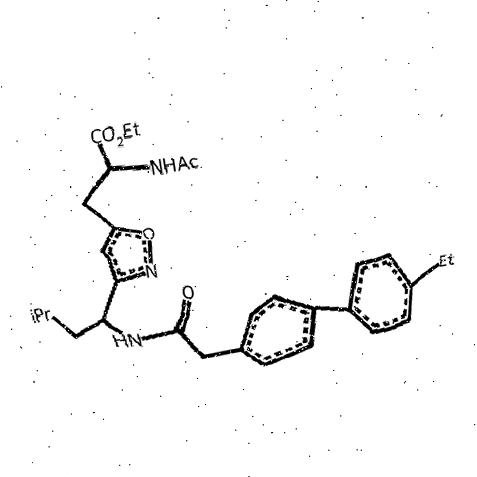 CCOC(=O)C(Cc1cc(C(CC(C)C)NC(=O)Cc2ccc(-c3ccc(CC)cc3)cc2)no1)NC(C)=O